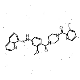 COc1cc(NSc2cccc3cccnc23)ccc1C(=O)N1CCN(C(=O)c2ncccc2F)CC1